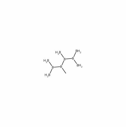 BB(B)B(B)B(C)B(B)B